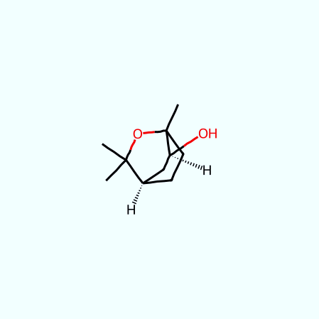 CC1(C)OC2(C)CC[C@@H]1C[C@@H]2O